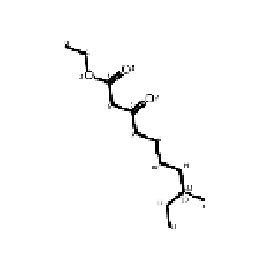 CCOC(=O)CC(=O)CCCC[C@@H](C)CC